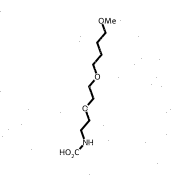 COCCCCOCCOCCNC(=O)O